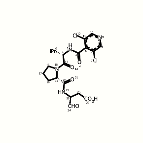 CC(C)[C@H](NC(=O)c1c(Cl)cncc1Cl)C(=O)N1CCC[C@H]1C(=O)N[C@H](C=O)CC(=O)O